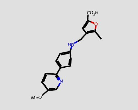 COc1ccc(-c2ccc(NCc3cc(C(=O)O)oc3C)cc2)nc1